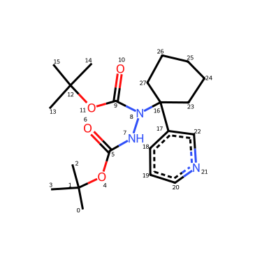 CC(C)(C)OC(=O)NN(C(=O)OC(C)(C)C)C1(c2cccnc2)CCCCC1